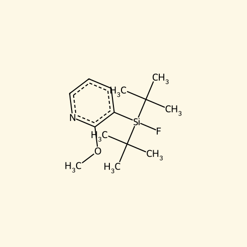 COc1ncccc1[Si](F)(C(C)(C)C)C(C)(C)C